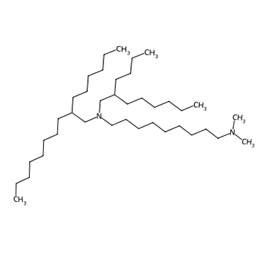 CCCCCCCCC(CCCCCC)CN(CCCCCCCCCN(C)C)CC(CCCC)CCCCCC